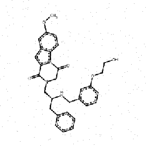 COc1ccc2c(c1)cc1n2C(=O)CN(C[C@H](Cc2ccccc2)NCc2cccc(OCCO)c2)C1=O